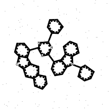 c1ccc(-c2nc(-c3cccc4oc5cc6ccccc6cc5c34)nc(-c3cccc4c3c3ccccc3n4-c3ccccc3)n2)cc1